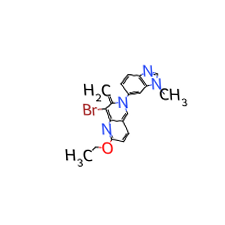 C=C1C(Br)=c2nc(OCC)ccc2=CN1c1ccc2ncn(C)c2c1